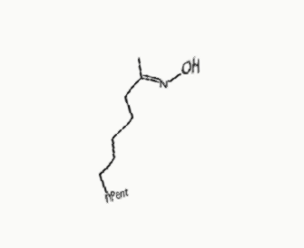 CCCCCCCCCCC(C)=NO